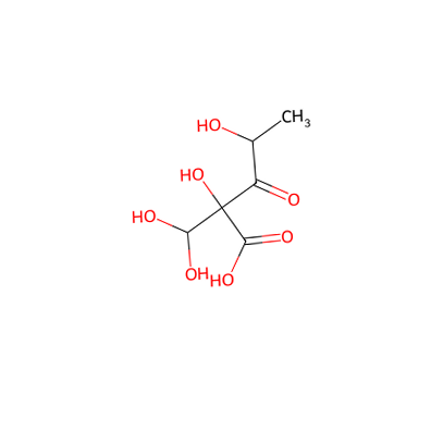 CC(O)C(=O)C(O)(C(=O)O)C(O)O